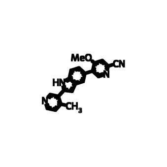 COc1cc(C#N)ncc1-c1ccc2[nH]c(-c3cnccc3C)cc2c1